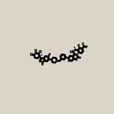 Cc1nc(N[C@H](C)c2cccc(C(F)F)c2F)c2cc(-c3cccc(CN4CCC(c5cc6c(cc5F)c([C@@]5(C)CCC(=O)NC5=O)nn6C)CC4)c3)ncc2n1